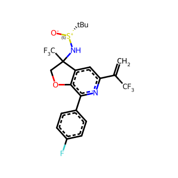 C=C(c1cc2c(c(-c3ccc(F)cc3)n1)OCC2(N[S@+]([O-])C(C)(C)C)C(F)(F)F)C(F)(F)F